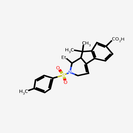 CCC1C2C(=CCN1S(=O)(=O)c1ccc(C)cc1)c1ccc(C(=O)O)cc1C2(C)C